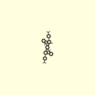 Cc1cc(-c2ccc(C(C)C)cc2)c2c3ccccc3n3c4cc5c6ccc(-c7ccc(C(C)C)cc7)c7c8ccccc8n(c5cc4c1c23)c67